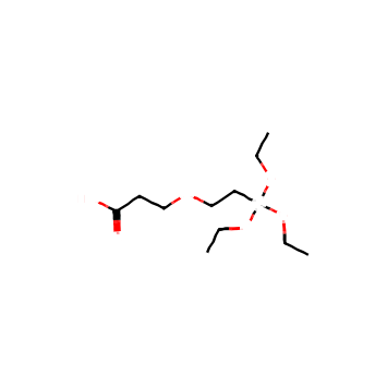 CCO[Si](CCOCCC(=O)O)(OCC)OCC